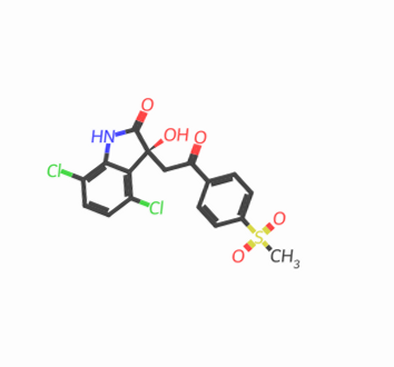 CS(=O)(=O)c1ccc(C(=O)C[C@@]2(O)C(=O)Nc3c(Cl)ccc(Cl)c32)cc1